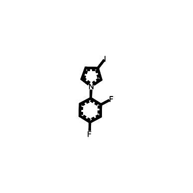 Fc1ccc(-n2ccc(I)c2)c(F)c1